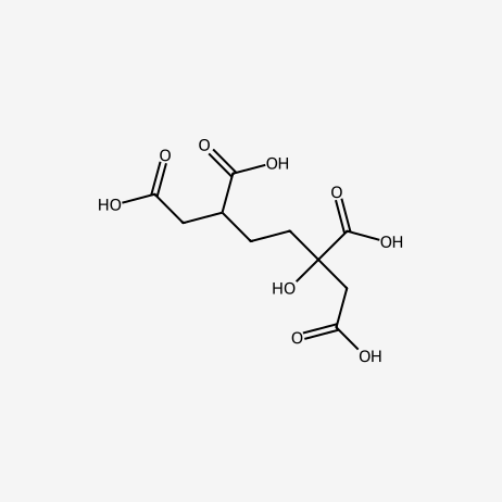 O=C(O)CC(CCC(O)(CC(=O)O)C(=O)O)C(=O)O